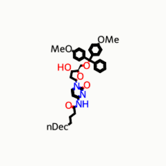 CCCCCCCCCCCCCC(=O)Nc1ccn([C@H]2C[C@H](O)[C@@H](COC(c3ccccc3)(c3ccc(OC)cc3)c3ccc(OC)cc3)O2)c(=O)n1